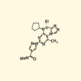 CC[C@@H]1c2nncn2-c2c(C)nc(-n3cc(C(=O)NC)cn3)nc2N1C1CCCC1